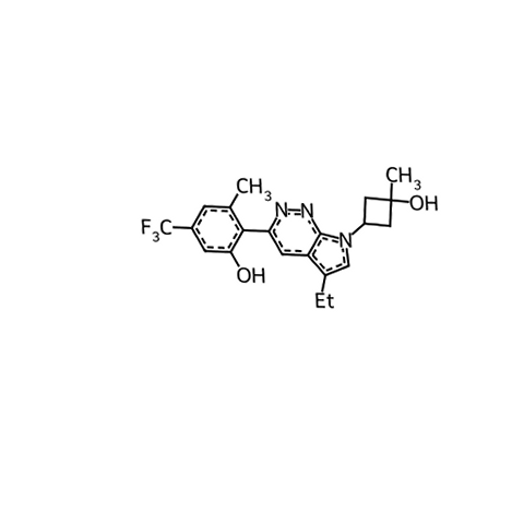 CCc1cn(C2CC(C)(O)C2)c2nnc(-c3c(C)cc(C(F)(F)F)cc3O)cc12